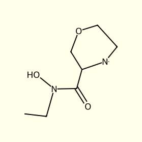 CCN(O)C(=O)C1COCC[N]1